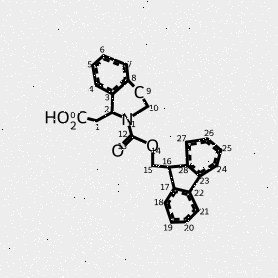 O=C(O)CC1c2ccccc2CCN1C(=O)OCC1c2ccccc2-c2ccccc21